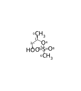 C[C@H]([CH]O)OS(C)(=O)=O